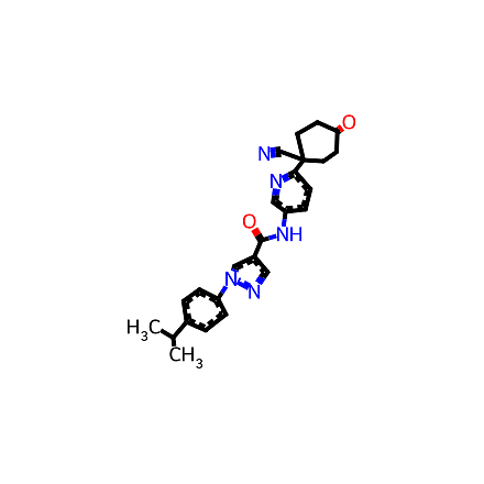 CC(C)c1ccc(-n2cc(C(=O)Nc3ccc(C4(C#N)CCC(=O)CC4)nc3)cn2)cc1